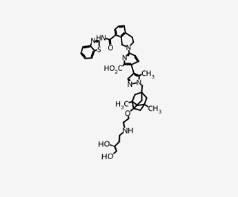 Cc1c(-c2ccc(N3CCc4cccc(C(=O)Nc5nc6ccccc6s5)c4C3)nc2C(=O)O)cnn1CC12CC3(C)CC(C)(C1)C(OCCNCC[C@H](O)CO)(C3)C2